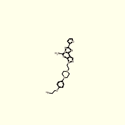 Nc1nc2c(cnn2CCN2CCN(c3ccc(OCC[18F])cc3)CC2)c2nc(-c3ccco3)nn12